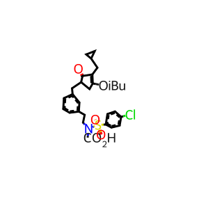 CC(C)COC1=C(CC2CC2)C(=O)C(Cc2cccc(CCN(C(=O)O)S(=O)(=O)c3ccc(Cl)cc3)c2)C1